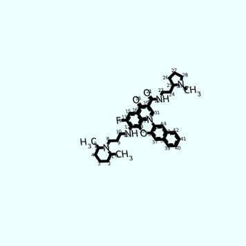 CC1CCCC(C)N1CCCNc1c(F)cc2c(=O)c(C(=O)NCCC3CCCN3C)cn3c2c1Oc1cc2ccccc2cc1-3